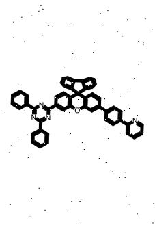 c1ccc(-c2nc(-c3ccccc3)nc(-c3ccc4c(c3)Oc3cc(-c5ccc(-c6ccccn6)cc5)ccc3C43c4ccccc4-c4ccccc43)n2)cc1